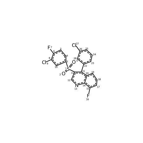 O=S(=O)(c1ccc(F)c(Cl)c1)c1cnc2c(F)cccc2c1-c1cccc(Cl)c1